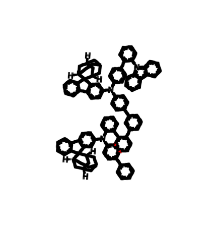 c1ccc(-c2ccc(N(c3ccc4c(c3)C3(c5ccccc5-4)[C@H]4CC5C[C@H](C4)C[C@H]3C5)c3ccccc3-c3ccccc3-c3cccc(-c4ccc(N(c5ccc(-c6ccccc6-n6c7ccccc7c7ccccc76)cc5)c5ccc6c(c5)C5(c7ccccc7-6)[C@H]6CC7C[C@@H](C6)C[C@@H]5C7)cc4)c3)cc2)cc1